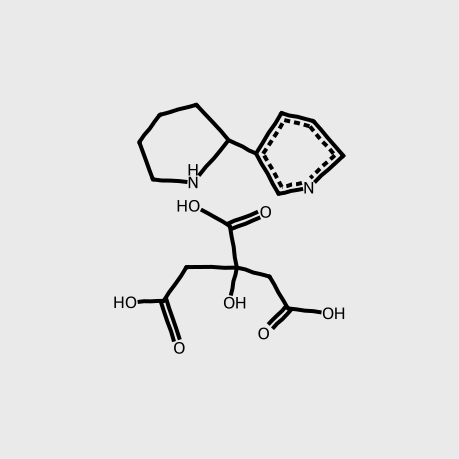 O=C(O)CC(O)(CC(=O)O)C(=O)O.c1cncc(C2CCCCN2)c1